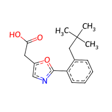 CC(C)(C)Cc1ccccc1-c1ncc(CC(=O)O)o1